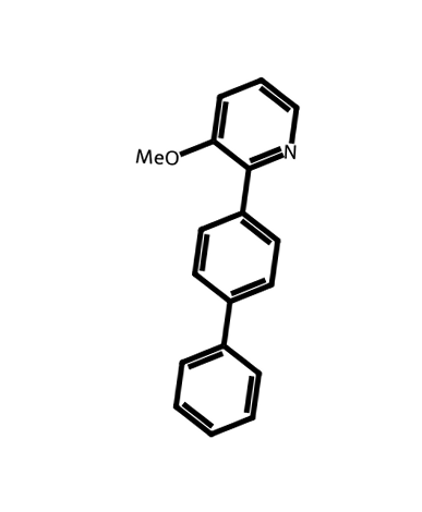 COc1cccnc1-c1ccc(-c2ccccc2)cc1